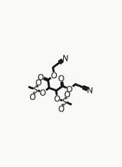 CS(=O)(=O)OC(C(=O)OCC#N)C(OS(C)(=O)=O)C(=O)OCC#N